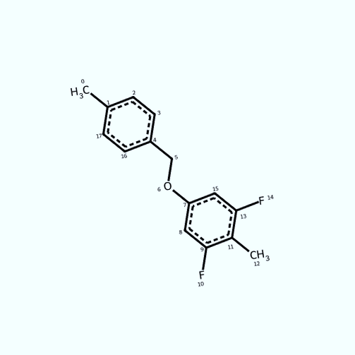 Cc1ccc(COc2cc(F)c(C)c(F)c2)cc1